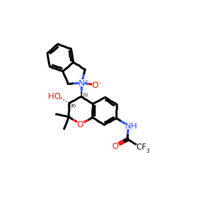 CC1(C)Oc2cc(NC(=O)C(F)(F)F)ccc2[C@H]([N+]2([O-])Cc3ccccc3C2)[C@H]1O